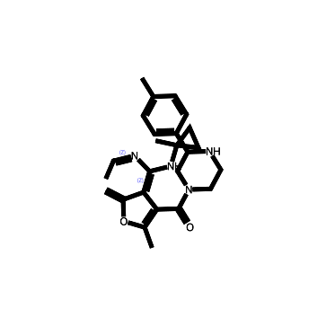 C=c1oc(C)c(C(=O)N2CCNC(c3ccc(C)cc3)C2)/c1=C(/N=C\C)NC1(C)CC1